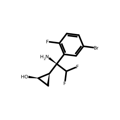 N[C@@](c1cc(Br)ccc1F)(C(F)F)[C@H]1C[C@H]1O